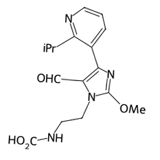 COc1nc(-c2cccnc2C(C)C)c(C=O)n1CCNC(=O)O